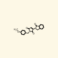 COc1ccc(CN2C(=O)C=C(N3Cc4ccccc4C3=O)C2=O)cc1